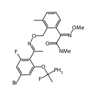 CNC(=O)/C(=N/OC)c1cccc(C)c1CO/N=C(\C)c1c(F)cc(Br)cc1OC(C)(F)P